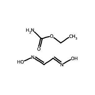 CCOC(N)=O.ON=CC=NO